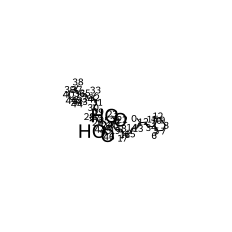 CC(C=CC1=C(C)CCCC1(C)C)=CC=CC(C)=CCC(C(=O)O)=C(CC=C(C)C=CC=C(C)C=CC1=C(C)CCCC1(C)C)C(=O)O